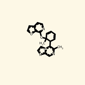 Cc1ncc2nccn2c1C1C=CC=CC1(C)Oc1nccc2ccoc12